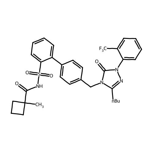 CCCCc1nn(-c2ccccc2C(F)(F)F)c(=O)n1Cc1ccc(-c2ccccc2S(=O)(=O)NC(=O)C2(C)CCC2)cc1